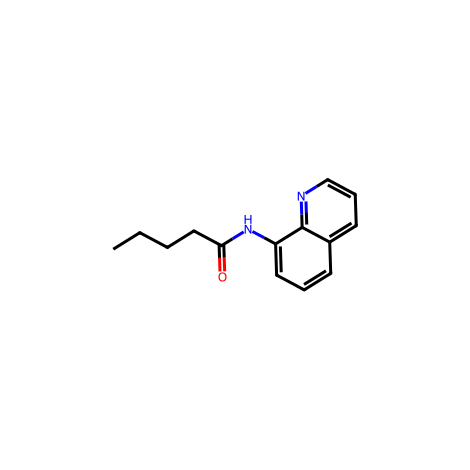 CCCCC(=O)Nc1cccc2cccnc12